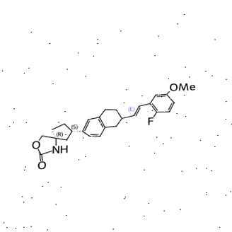 COc1ccc(F)c(/C=C/C2CCc3cc([C@H]4CC[C@]5(COC(=O)N5)C4)ccc3C2)c1